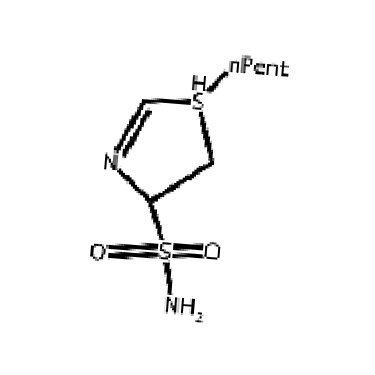 CCCCC[SH]1C=NC(S(N)(=O)=O)C1